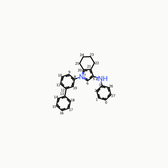 c1ccc(Nc2cn(-c3cccc(-c4ccccc4)c3)c3c2CCCC3)cc1